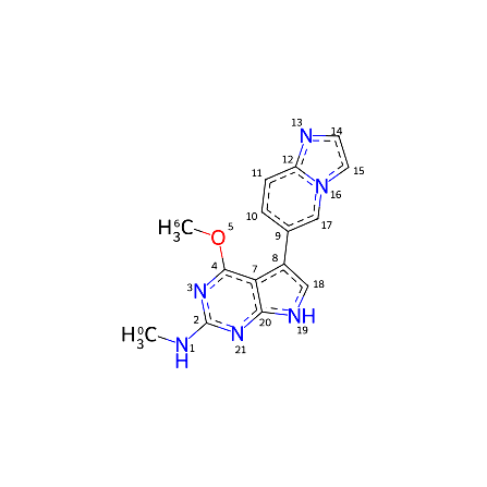 CNc1nc(OC)c2c(-c3ccc4nccn4c3)c[nH]c2n1